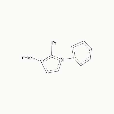 CCCCCC[n+]1ccn(-c2ccccc2)c1C(C)C